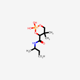 CC(CC(=O)O)NC(=O)C1O[PH](O)(O)OCC1(C)C